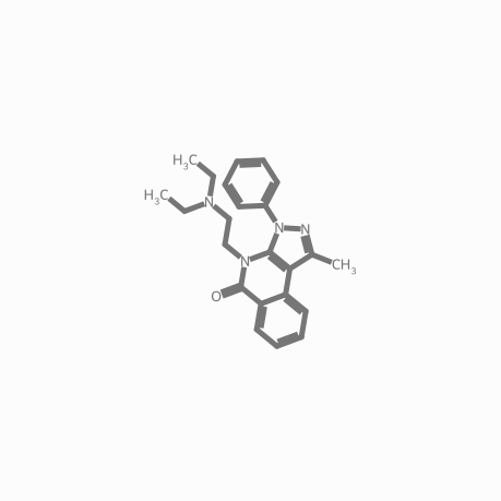 CCN(CC)CCn1c(=O)c2ccccc2c2c(C)nn(-c3ccccc3)c21